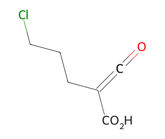 O=C=C(CCCCl)C(=O)O